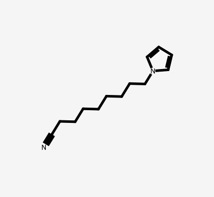 N#CCCCCCCCCn1cccc1